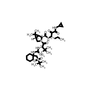 CCC[C@H](NC(=O)[C@@H]1C2[C@H](CN1C(=O)[C@@H](NC(=O)NC1(CS(=O)(=O)C(C)(C)C)CCCCC1)C(C)(C)C)C2(C)C)C(=O)C(=O)NC1CC1